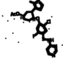 CC(=O)O[C@@H]1CC[C@H](Oc2cc(F)c(SNc3ccncn3)cc2Cl)C(c2ccnn2C)C1